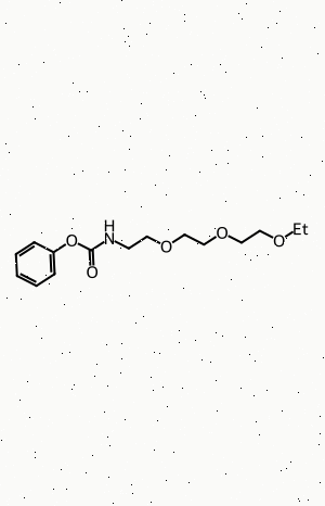 CCOCCOCCOCCNC(=O)Oc1ccccc1